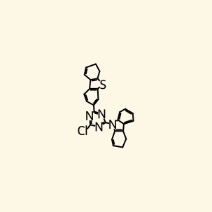 Clc1nc(-c2ccc3c4c(sc3c2)CCC=C4)nc(-n2c3c(c4ccccc42)CCC=C3)n1